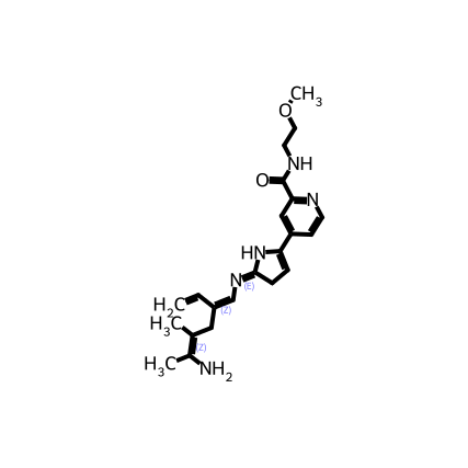 C=C/C(=C\N=C1/CC=C(c2ccnc(C(=O)NCCOC)c2)N1)C/C(C)=C(/C)N